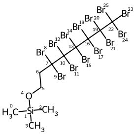 C[Si](C)(C)OCCC(Br)(Br)C(Br)(Br)C(Br)(Br)C(Br)(Br)C(Br)(Br)C(Br)(Br)Br